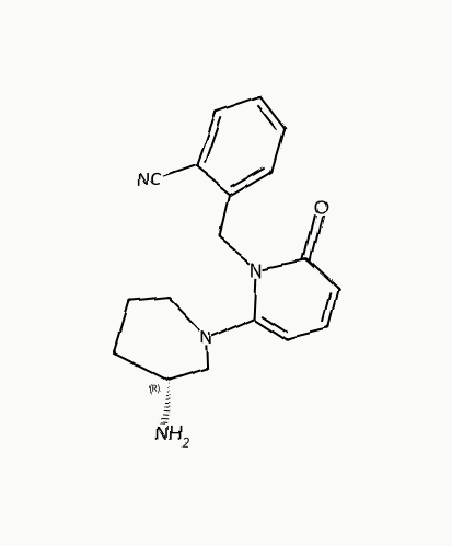 N#Cc1ccccc1Cn1c(N2CCC[C@@H](N)C2)cccc1=O